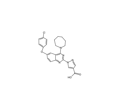 O=C(O)c1cnn(-c2nc(N3CCCCCC3)c3cc(Oc4ccc(Cl)cc4)ccc3n2)c1